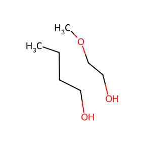 CCCCO.COCCO